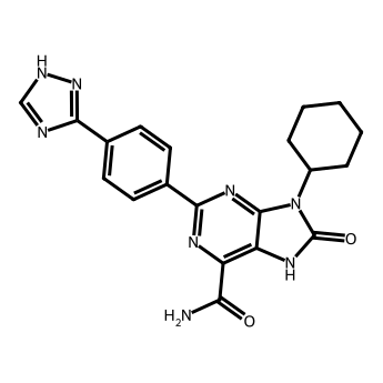 NC(=O)c1nc(-c2ccc(-c3nc[nH]n3)cc2)nc2c1[nH]c(=O)n2C1CCCCC1